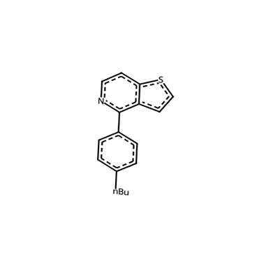 CCCCc1ccc(-c2nccc3sccc23)cc1